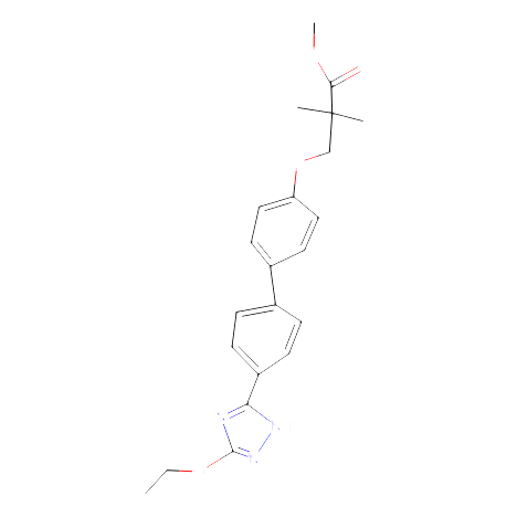 CCOc1n[nH]c(-c2ccc(-c3ccc(OCC(C)(C)C(=O)OC)cc3)cc2)n1